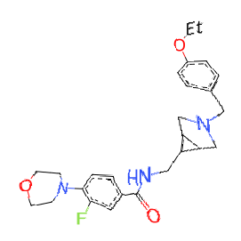 CCOc1ccc(CN2CC3C(CNC(=O)c4ccc(N5CCOCC5)c(F)c4)C3C2)cc1